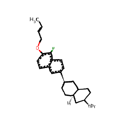 C/C=C/COc1ccc2cc([C@@H]3CC[C@@H]4CC(CCC)CCC4C3)ccc2c1F